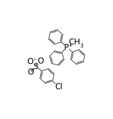 C[P+](c1ccccc1)(c1ccccc1)c1ccccc1.O=S(=O)([O-])c1ccc(Cl)cc1